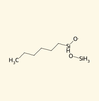 CCCCCC[SiH]([O])O[SiH3]